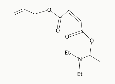 C=CCOC(=O)/C=C\C(=O)OC(C)N(CC)CC